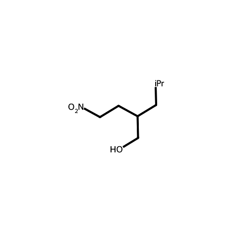 CC(C)CC(CO)CC[N+](=O)[O-]